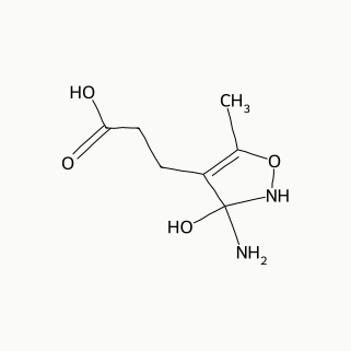 CC1=C(CCC(=O)O)C(N)(O)NO1